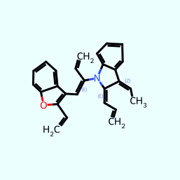 C=C/C=c1\c(=C/C)c2ccccc2n1/C(C=C)=C/c1c(C=C)oc2ccccc12